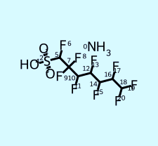 N.O=S(=O)(O)C(F)C(F)(F)C(F)C(F)C(F)C(F)C(F)F